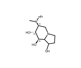 CCCN(C)[C@H]1CN2CCC(O)C2[C@@H](O)[C@@H]1O